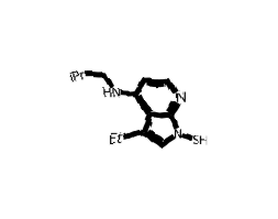 CCc1cn(S)c2nccc(NCC(C)C)c12